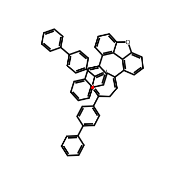 C1=C(c2cccc3oc4cccc(-c5ccc6ccccc6c5)c4c23)N=C(c2ccc(-c3ccccc3)cc2)N=C(c2ccc(-c3ccccc3)cc2)C1